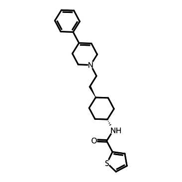 O=C(N[C@H]1CC[C@H](CCN2CC=C(c3ccccc3)CC2)CC1)c1cccs1